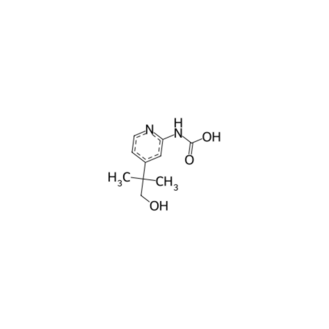 CC(C)(CO)c1ccnc(NC(=O)O)c1